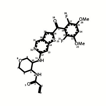 C=CC(=O)NC1CCOCC1Nc1cc2sc(C(=O)c3c(F)c(OC)cc(OC)c3F)cc2cn1